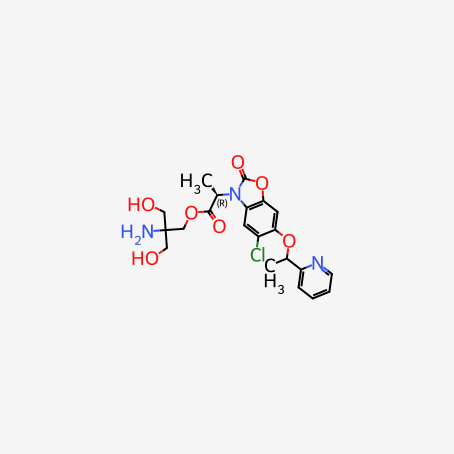 CC(Oc1cc2oc(=O)n([C@H](C)C(=O)OCC(N)(CO)CO)c2cc1Cl)c1ccccn1